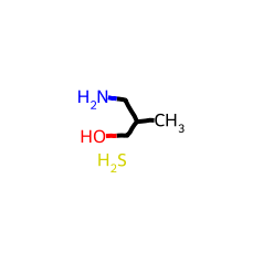 CC(CN)CO.S